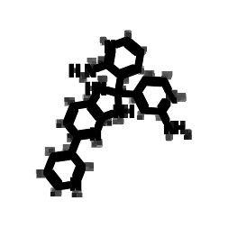 Nc1cc(C2(c3cccnc3N)Nc3ccc(-c4cccnc4)nc3N2)ccn1